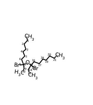 CCCCCCCC(Br)(CC)OC(Br)(CC)CCCCCCC